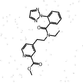 CCN(CCc1ccnc(C(=O)OC)c1)C(=O)c1ccccc1-n1nccn1